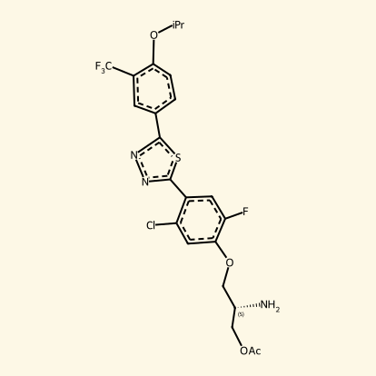 CC(=O)OC[C@@H](N)COc1cc(Cl)c(-c2nnc(-c3ccc(OC(C)C)c(C(F)(F)F)c3)s2)cc1F